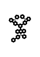 c1ccc(-c2ccc(N(c3ccccc3)c3c4ccccc4c(-c4cc(-c5ccc6c7ccccc7n(-c7ccccc7)c6c5)cc(-c5ccc6c7ccccc7n(-c7ccccc7)c6c5)c4)c4ccccc34)cc2)cc1